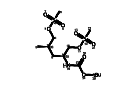 C[C@@H](COS(C)(=O)=O)C[C@@H](COS(C)(=O)=O)NC(=O)OC(C)(C)C